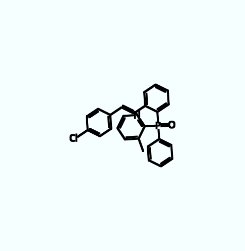 Cc1cccnc1P(=O)(c1ccccc1)c1ccccc1C=Cc1ccc(Cl)cc1